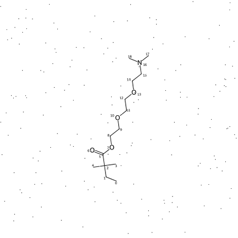 CCC(C)(C)C(=O)OCCOCCOCCN(C)C